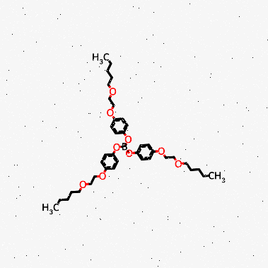 CCCCCOCCOc1ccc(OB(Oc2ccc(OCCOCCCCC)cc2)Oc2ccc(OCCOCCCCC)cc2)cc1